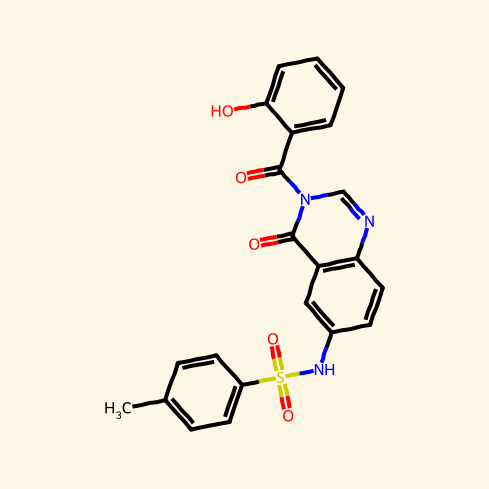 Cc1ccc(S(=O)(=O)Nc2ccc3ncn(C(=O)c4ccccc4O)c(=O)c3c2)cc1